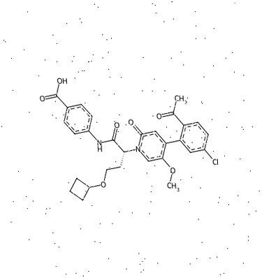 COc1cn([C@H](CCOC2CCC2)C(=O)Nc2ccc(C(=O)O)cc2)c(=O)cc1-c1cc(Cl)ccc1C(C)=O